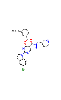 COc1cccc(COc2nc(N3CCc4cc(Br)ccc43)ncc2C(=O)NCc2cccnc2)c1